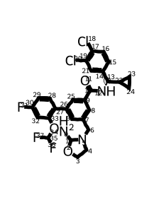 NC1OCCN1Cc1cc(C(=O)N[C@H](c2ccc(Cl)c(Cl)c2)C2CC2)cc(-c2ccc(F)cc2OC(F)F)c1